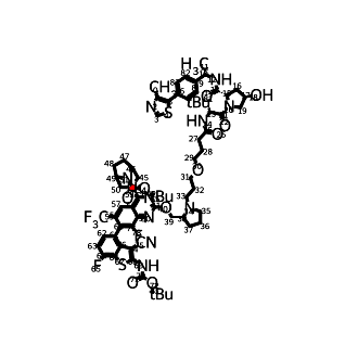 Cc1ncsc1-c1ccc([C@H](C)NC(=O)[C@@H]2C[C@@H](O)CN2C(=O)[C@@H](NC(=O)CCCOCCCN2CCC[C@H]2COc2nc(N3CC4CCC(C3)N4C(=O)OC(C)(C)C)c3cc(C(F)(F)F)c(-c4ccc(F)c5sc(NC(=O)OC(C)(C)C)c(C#N)c45)c(F)c3n2)C(C)(C)C)cc1